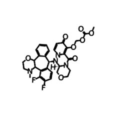 COC(=O)OCOc1c2n(ccc1=O)N([C@@H]1c3ccccc3C3OCCN(C)C3c3c1ccc(F)c3F)[C@@H]1COCCN1C2=O